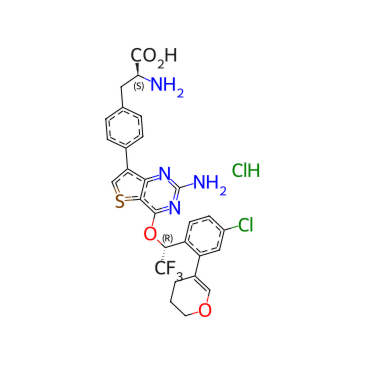 Cl.Nc1nc(O[C@H](c2ccc(Cl)cc2C2=COCCC2)C(F)(F)F)c2scc(-c3ccc(C[C@H](N)C(=O)O)cc3)c2n1